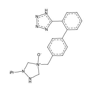 CC(C)N1C[N+]([O-])(Cc2ccc(-c3ccccc3-c3nnn[nH]3)cc2)CN1